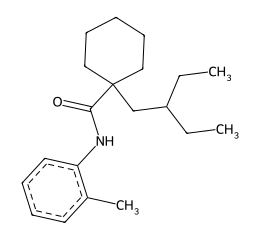 CCC(CC)CC1(C(=O)Nc2ccccc2C)CCCCC1